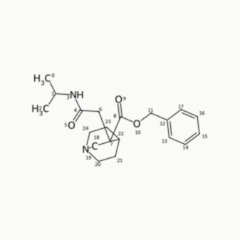 CC(C)NC(=O)CC1(C(=O)OCc2ccccc2)CN2CCC1CC2